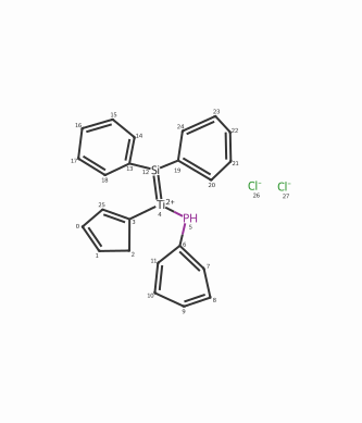 C1=CC[C]([Ti+2]([PH]c2ccccc2)=[Si](c2ccccc2)c2ccccc2)=C1.[Cl-].[Cl-]